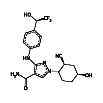 N#C[C@H]1C[C@@H](O)CC[C@@H]1n1cc(C(N)=O)c(Nc2ccc([C@@H](O)C(F)(F)F)cc2)n1